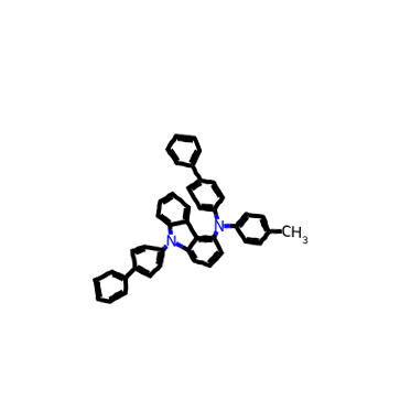 Cc1ccc(N(c2ccc(-c3ccccc3)cc2)c2cccc3c2c2ccccc2n3-c2ccc(-c3ccccc3)cc2)cc1